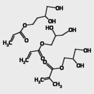 C=C(C)C(=O)OCC(O)CO.C=CC(=O)OCC(O)CO.C=CC(=O)OCCC(O)CO